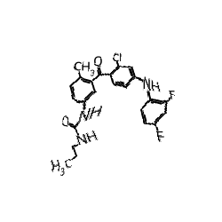 CCCNC(=O)Nc1ccc(C)c(C(=O)c2ccc(Nc3ccc(F)cc3F)cc2Cl)c1